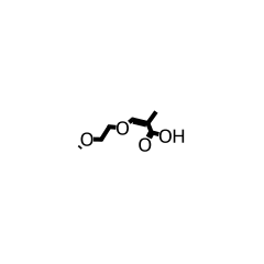 COCCOC=C(C)C(=O)O